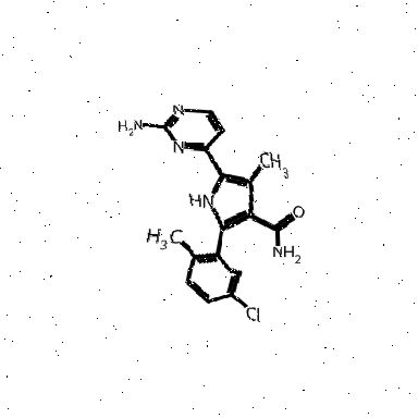 Cc1ccc(Cl)cc1-c1[nH]c(-c2ccnc(N)n2)c(C)c1C(N)=O